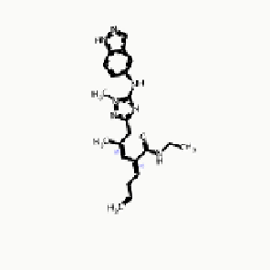 C=CC/C=C(\C=C(\C)Cc1nc(Nc2ccc3[nH]ncc3c2)n(C)n1)C(=O)NCC